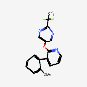 COc1ccccc1-c1cccnc1Oc1cnc(C(F)(F)C(F)(F)F)nc1